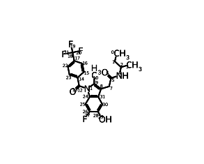 CCC(C)NC(=O)Cc1c(C)n(C(=O)c2ccc(C(F)(F)F)cc2)c2cc(F)c(O)cc12